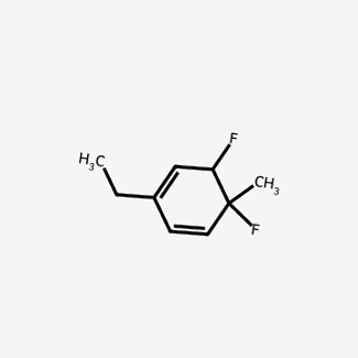 CCC1=CC(F)C(C)(F)C=C1